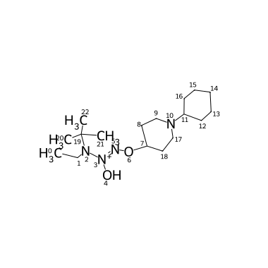 CCN(/[N+](O)=N/OC1CCN(C2CCCCC2)CC1)C(C)(C)C